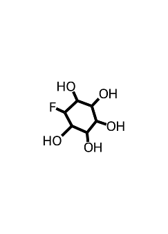 OC1C(O)C(O)C(F)C(O)C1O